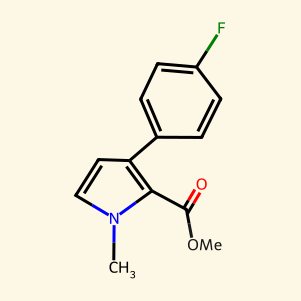 COC(=O)c1c(-c2ccc(F)cc2)ccn1C